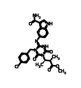 COC(=O)[C@H](C)[C@H](C)n1c(=O)[nH]/c(=N\c2ccc3[nH]cc(C(N)=O)c3c2)n(Cc2ccc(Cl)cc2)c1=O